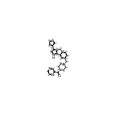 O=C(c1cnccn1)N1CCN(Cc2ccc3c(c2)-c2[nH]nc(-c4ccsc4)c2C3)CC1